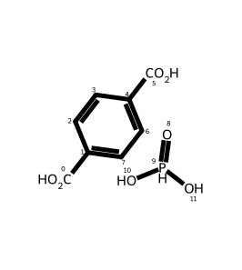 O=C(O)c1ccc(C(=O)O)cc1.O=[PH](O)O